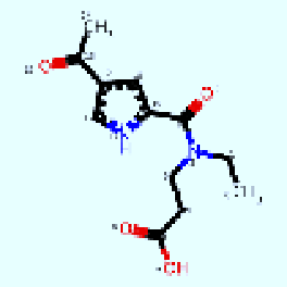 CCN(CCC(=O)O)C(=O)c1cc(C(C)=O)c[nH]1